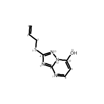 C=CCSc1nc2nccc(O)n2n1